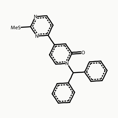 CSc1nccc(-c2ccn(C(c3ccccc3)c3ccccc3)c(=O)c2)n1